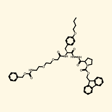 CCCCOc1ccc(C[C@H](NC(=O)COCCOCCNC(=O)OCc2ccccc2)C(=O)NNC(=O)C2CCCN2C(=O)OCC2c3ccccc3-c3ccccc32)cc1